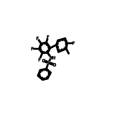 Cc1cc(-c2c(F)c(F)c(F)c(F)c2NS(=O)(=O)c2ccccc2)ccc1F